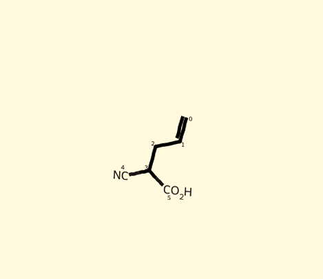 C=CCC(C#N)C(=O)O